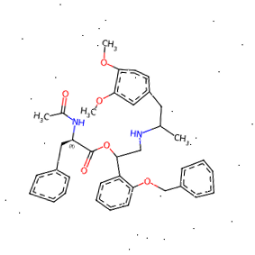 COc1ccc(CC(C)NCC(OC(=O)[C@@H](Cc2ccccc2)NC(C)=O)c2ccccc2OCc2ccccc2)cc1OC